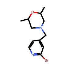 CC1CN(Cc2ccnc(Br)c2)CC(C)O1